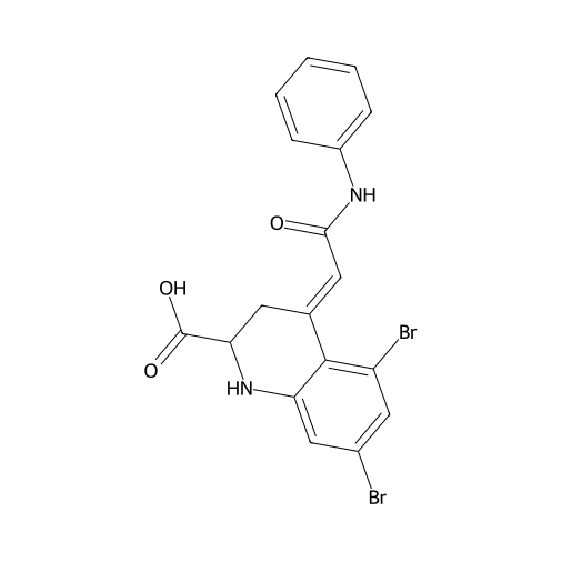 O=C(/C=C1\CC(C(=O)O)Nc2cc(Br)cc(Br)c21)Nc1ccccc1